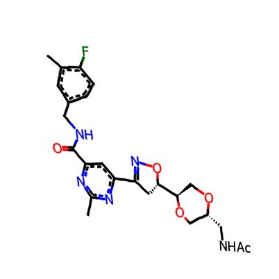 CC(=O)NC[C@@H]1CO[C@@H]([C@@H]2CC(c3cc(C(=O)NCc4ccc(F)c(C)c4)nc(C)n3)=NO2)CO1